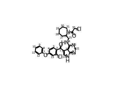 O=C(c1ccc(Oc2ccccc2)cc1Cl)c1c[nH]c2ncnc(NCC3CCCCCN3C(=O)CCl)c12